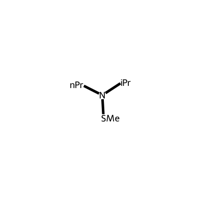 CCCN(SC)C(C)C